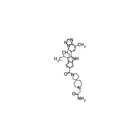 Cc1cc(-c2[nH]c3cc(C(=O)N4CCC5(CCN(CC(N)=O)CC5)C4)sc3c2C(C)C)cn2ncnc12